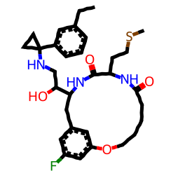 CCc1cccc(C2(NCC(O)C3Cc4cc(F)cc(c4)OCCCCC(=O)NC(CCSC)C(=O)N3)CC2)c1